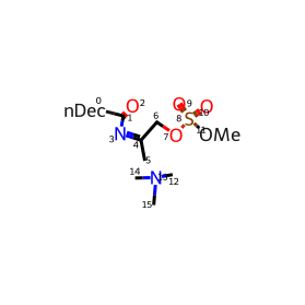 CCCCCCCCCCC(=O)N=C(C)COS(=O)(=O)OC.CN(C)C